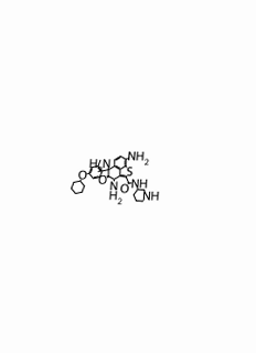 Cc1cc(OC2CCCCC2)ccc1C1(N)C(=O)C(N)c2c(C(=O)NC3CCCNC3)sc3c(N)ccc1c23